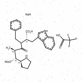 CO[C@@H]([C@@H]1CCCN1)[C@@H](C)C(=O)N(Cc1ccccc1)[C@@H](Cc1c[nH]c2ccccc12)C(=O)O.O=C(O)C(F)(F)F.[NaH]